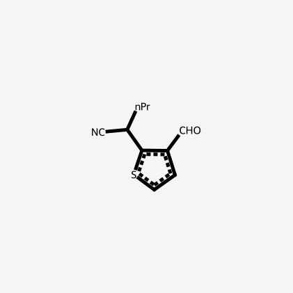 CCCC(C#N)c1sccc1C=O